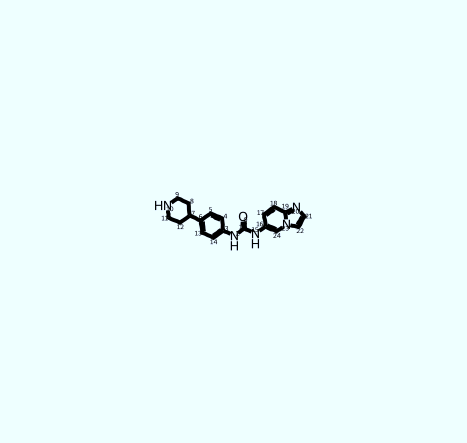 O=C(Nc1ccc(C2CCNCC2)cc1)Nc1ccc2nccn2c1